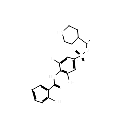 Cc1ccccc1C(=O)Nc1c(C)cc(S(=O)(=O)N[C@H](C)C2CCNCC2)cc1F